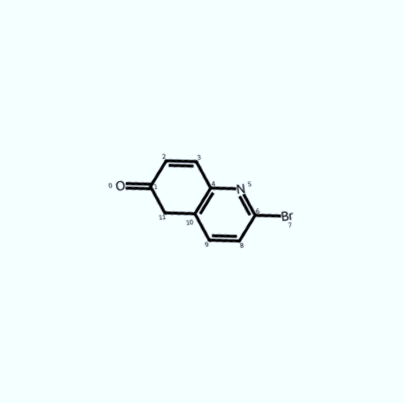 O=C1C=Cc2nc(Br)ccc2C1